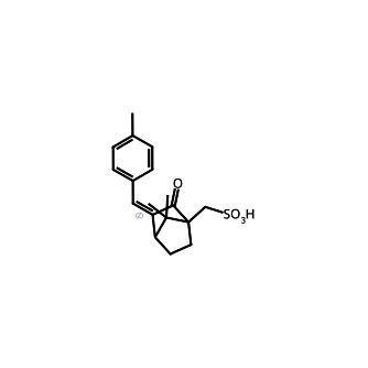 Cc1ccc(/C=C2\C(=O)C3(CS(=O)(=O)O)CCC2C3(C)C)cc1